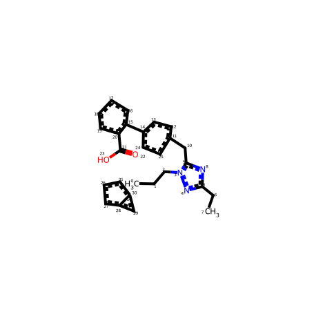 CCCn1nc(CC)nc1Cc1ccc(-c2ccccc2C(=O)O)cc1.c1cc2cc-2c1